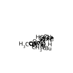 Cc1ccc(S(=O)(=O)C2CC(C(=O)N[C@@H](CC(=O)NC3CC3)[C@H](C)O)N(C(=O)OC(C)(C)C)C2)c(C)c1